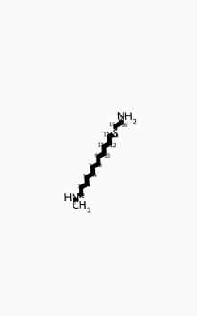 CNCCCCCCCCCCCCSCCN